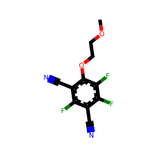 COCCOc1c(F)c(F)c(C#N)c(F)c1C#N